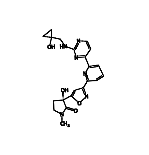 CN1CC[C@@](O)(c2cc(-c3cccc(-c4ccnc(NCC5(O)CC5)n4)n3)no2)C1=O